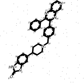 O=C1[N]c2cc(C3CCN(Cc4ccc(-c5nc6cnccc6nc5-c5ccccc5)cc4)CC3)ccc2N1